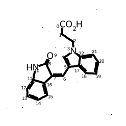 O=C(O)CCn1cc(C=C2C(=O)Nc3ccccc32)c2ccccc21